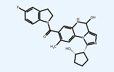 Cc1cc2c(cc1C(=O)N1CCc3cc(F)ccc31)NC(O)c1cnc([C@@H]3CCC[C@@H]3O)n1-2